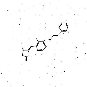 O=C1CC(=O)/C(=C/c2cccc(OCCCc3ccccc3)c2Cl)S1